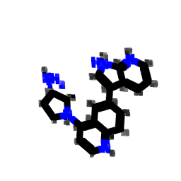 N[C@H]1CCN(c2ccnc3ccc(-c4c[nH]c5ncccc45)cc23)C1